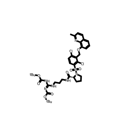 Cc1ccc2cccc(OCc3c(Cl)ccc(S(=O)(=O)N4CCC[C@H]4C(=O)NCCCN/C(=N\C(=O)OC(C)(C)C)NC(=O)OC(C)(C)C)c3Cl)c2n1